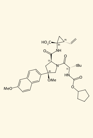 C=C[C@H]1C[C@]1(NC(=O)[C@@H]1C[C@@](OC)(c2ccc3cc(OC)ccc3c2)CN1C(=O)[C@@H](NC(=O)OC1CCCC1)C(C)(C)C)C(=O)O